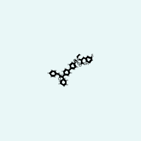 CCN(C(Cc1cccc(F)c1)C(=O)O)S(=O)(=O)c1ccc(-c2ccc(-c3c(Cc4ccccc4)oc4ccccc34)cc2)cc1